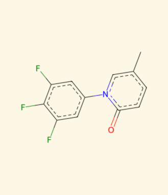 Cc1ccc(=O)n(-c2cc(F)c(F)c(F)c2)c1